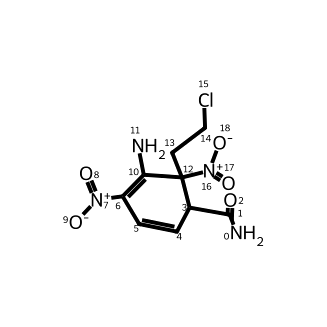 NC(=O)C1C=CC([N+](=O)[O-])=C(N)C1(CCCl)[N+](=O)[O-]